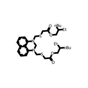 CCCCC(CC)COC(=O)CSCN1CN(CSCC(=O)OCC(CC)CCCC)c2cccc3cccc1c23